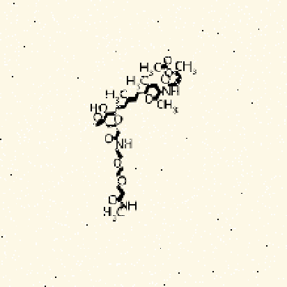 CNC(=O)CCOCCOCCNC(=O)C[C@@H]1C[C@@]2(CO2)[C@H](O)[C@@H](/C=C/C(C)=C/C[C@@H]2O[C@H](C)[C@H](NC(=O)/C=C\[C@H](C)OC(C)=O)C[C@@H]2C)O1